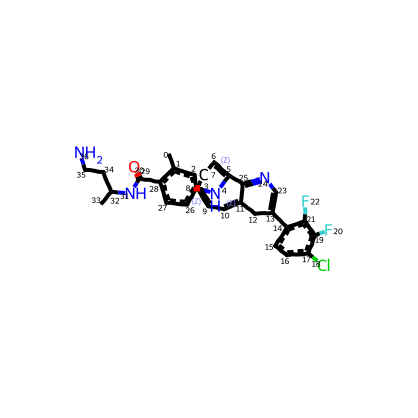 Cc1cc(N/C2=C\C/C=C\C=C3\CC(c4ccc(Cl)c(F)c4F)=CN=C32)ccc1C(=O)NC(C)CCN